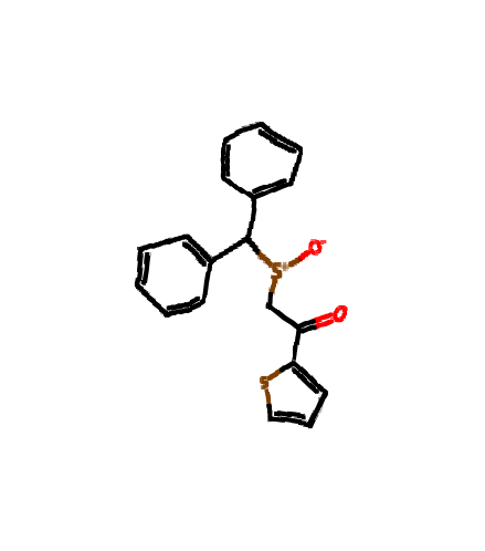 O=C(C[S+]([O-])C(c1ccccc1)c1ccccc1)c1cccs1